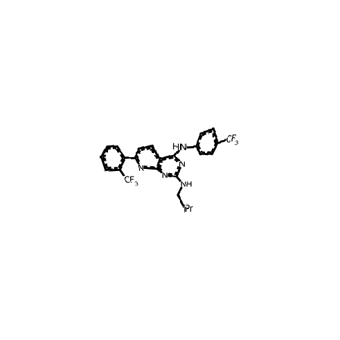 CC(C)CNc1nc(Nc2ccc(C(F)(F)F)cc2)c2ccc(-c3ccccc3C(F)(F)F)nc2n1